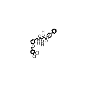 O=C(NCc1cccc(OCc2ccc(Cl)c(Cl)c2)c1)[C@H](O)[C@@H](O)C(=O)N1CCN(c2ccccc2)CC1